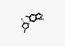 Cc1cc2cn[nH]c2cc1[C@@H]1CN(C)C[C@@H]1F